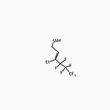 [CH2]SC/C=C(\CC)C(F)(F)C(F)(F)C(F)(F)F